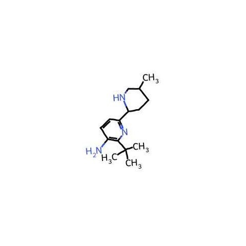 CC1CCC(c2ccc(N)c(C(C)(C)C)n2)NC1